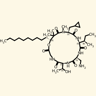 CCCCCCCCCC[C@H]1OC(=O)CNC(=O)[C@H]([C@H](C)O)NC(=O)[C@H](CN)NC(=O)[C@H]([C@H](C)CC)NC(=O)[C@H](CC2CC2)N(C)C(=O)C1(C)C